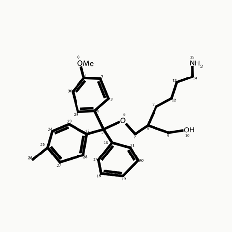 COc1ccc(C(OCC(CO)CCCCN)(c2ccccc2)c2ccc(C)cc2)cc1